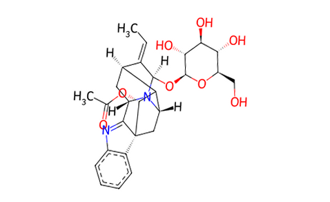 C/C=C1/[C@@H](O[C@@H]2O[C@H](CO)[C@@H](O)[C@H](O)[C@H]2O)N2[C@H]3C[C@@H]1C1[C@@H](OC(C)=O)[C@@]4(C[C@@H]12)C3=Nc1ccccc14